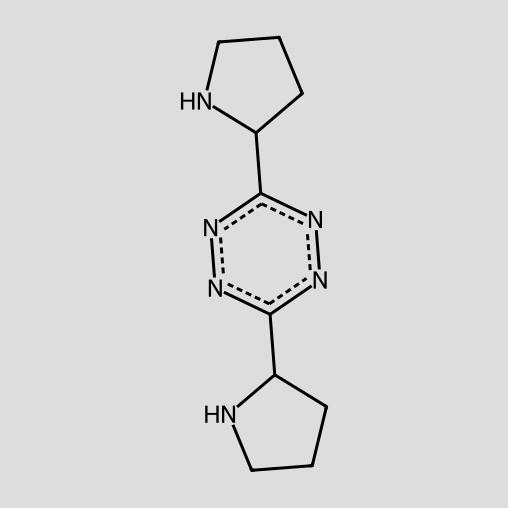 C1CNC(c2nnc(C3CCCN3)nn2)C1